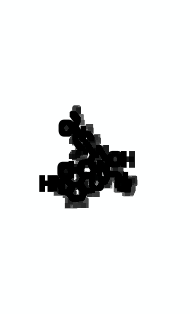 C=CC(=O)N1CCN(C2=NC(O)N3c4c2cc(Cl)c(-c2c(C)ccc5c2C(=O)NC5)c4OCC3CN2CCC2)[C@@H](C)C1